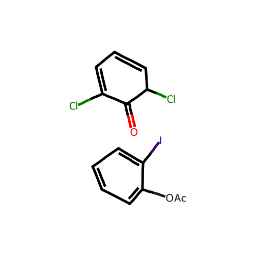 CC(=O)Oc1ccccc1I.O=C1C(Cl)=CC=CC1Cl